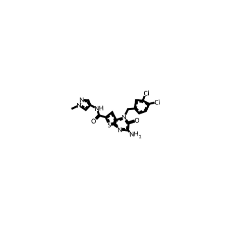 Cn1cc(NC(=O)c2cc3c(nc(N)c(=O)n3Cc3ccc(Cl)c(Cl)c3)s2)cn1